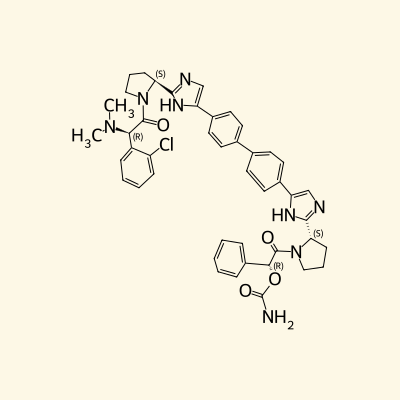 CN(C)[C@@H](C(=O)N1CCC[C@H]1c1ncc(-c2ccc(-c3ccc(-c4cnc([C@@H]5CCCN5C(=O)[C@H](OC(N)=O)c5ccccc5)[nH]4)cc3)cc2)[nH]1)c1ccccc1Cl